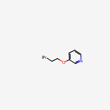 CC(C)CCOc1c[c]cnc1